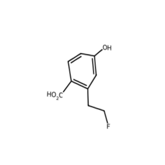 O=C(O)c1ccc(O)cc1CCF